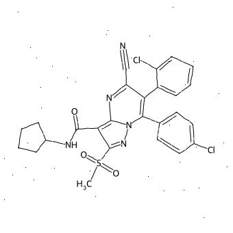 CS(=O)(=O)c1nn2c(-c3ccc(Cl)cc3)c(-c3ccccc3Cl)c(C#N)nc2c1C(=O)NC1CCCC1